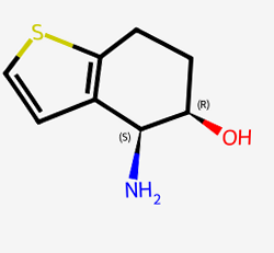 N[C@H]1c2ccsc2CC[C@H]1O